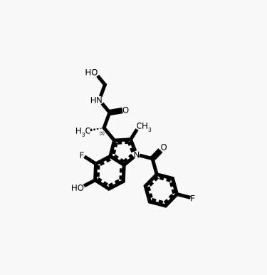 Cc1c([C@H](C)C(=O)NCO)c2c(F)c(O)ccc2n1C(=O)c1cccc(F)c1